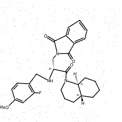 COc1ccc(CN[C@H](CN2C(=O)c3ccccc3C2=O)C(=O)N2CCC[C@H]3CCCC[C@@H]32)c(F)c1